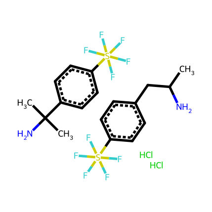 CC(C)(N)c1ccc(S(F)(F)(F)(F)F)cc1.CC(N)Cc1ccc(S(F)(F)(F)(F)F)cc1.Cl.Cl